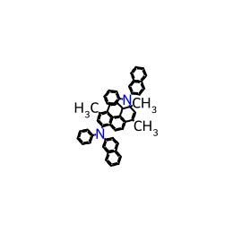 CC1=CC(C)(N(c2ccccc2)c2ccc3ccccc3c2)C2C=Cc3c(C)cc(N(c4ccccc4)c4ccc5ccccc5c4)c4ccc1c2c34